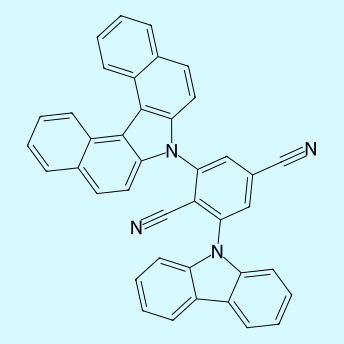 N#Cc1cc(-n2c3ccccc3c3ccccc32)c(C#N)c(-n2c3ccc4ccccc4c3c3c4ccccc4ccc32)c1